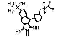 CC(C)(C)c1ccc2c(-c3cccc(CC(F)(F)C(F)F)c3)c3c(cc2c1)C(=N)NC3=N